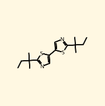 CCC(C)(C)c1ncc(-c2cnc(C(C)(C)CC)s2)s1